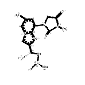 Cc1cc(N2CC(=O)N(C)C2=O)c2nc([C@@H](C)N[S@+]([O-])C(C)(C)C)cn2c1